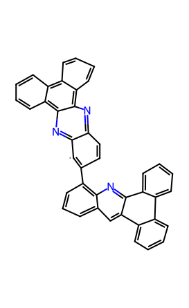 [c]1c(-c2cccc3cc4c5ccccc5c5ccccc5c4nc23)ccc2nc3c4ccccc4c4ccccc4c3nc12